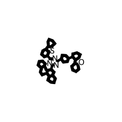 c1ccc2c(c1)cc(-c1nc(-c3ccc(-c4cccc5oc6ccccc6c45)cc3)nc(-c3cccc4c3sc3ccccc34)n1)c1c3ccccc3ccc21